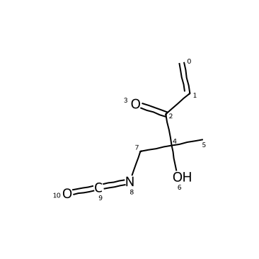 C=CC(=O)C(C)(O)CN=C=O